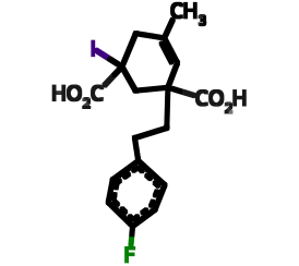 CC1=CC(CCc2ccc(F)cc2)(C(=O)O)CC(I)(C(=O)O)C1